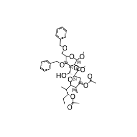 CCC(OC(C)=O)C(C)C1O[C@](C(=O)OC)(C(O)[C@@H]2C(C)[C@H](OC)OC(COCc3ccccc3)[C@@H]2OCc2ccccc2)C[C@@H](OC(C)=O)[C@H]1C